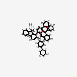 CC1(C)c2ccccc2-c2ccc(N(c3ccc(C4CCCCC4)cc3)c3ccc(C4CC5CCC4C5)c4ccccc34)c(-c3ccc(-c4ccccc4)cc3)c21